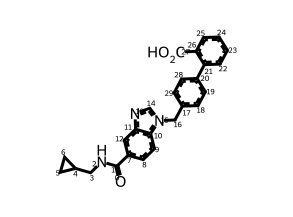 O=C(NCC1CC1)c1ccc2c(c1)ncn2Cc1ccc(-c2ccccc2C(=O)O)cc1